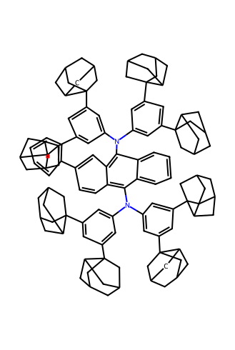 c1ccc(-c2ccc3c(N(c4cc(C56CC7CC(CC5C7)C6)cc(C56CC7CC(CC5C7)C6)c4)c4cc(C56CC7CC(CC5C7)C6)cc(C56CC7CC(CC5C7)C6)c4)c4ccccc4c(N(c4cc(C56CC7CC(CC5C7)C6)cc(C56CC7CC(CC5C7)C6)c4)c4cc(C56CC7CC(CC5C7)C6)cc(C56CC7CC(CC5C7)C6)c4)c3c2)cc1